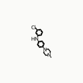 CN1CCN(c2ccc(Nc3cccc(Cl)c3)cc2)CC1